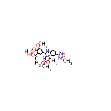 COC(=O)/N=C(SC)/C(=N\c1ccc(-c2noc(C)n2)cc1)c1cc(OC)c(OC)c(C(C)O)c1